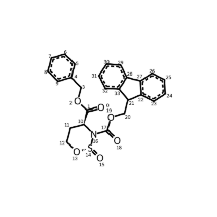 O=C(OCc1ccccc1)[C@@H]1CCO[S@@](=O)N1C(=O)OCC1c2ccccc2-c2ccccc21